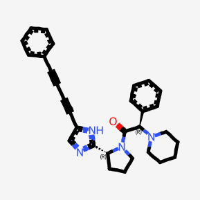 O=C([C@@H](c1ccccc1)N1CCCCC1)N1CCC[C@@H]1c1ncc(C#CC#Cc2ccccc2)[nH]1